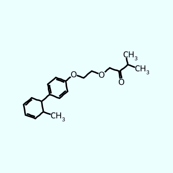 CC(C)C(=O)COCCOc1ccc(C2C=CC=CC2C)cc1